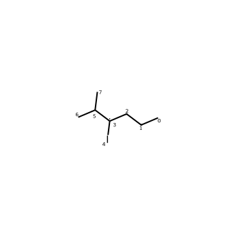 CCC[C](I)C(C)C